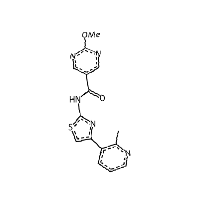 COc1ncc(C(=O)Nc2nc(-c3cccnc3C)cs2)cn1